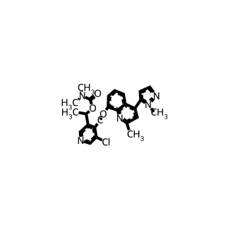 Cc1cc(-c2ccnn2C)c2cccc(OCc3c(Cl)cncc3C(C)OC(=O)N(C)C)c2n1